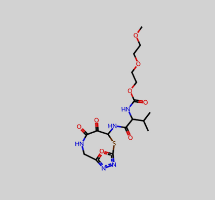 COCCOCCOC(=O)NC(C(=O)NC1Sc2nnc(o2)CNC(=O)C1=O)C(C)C